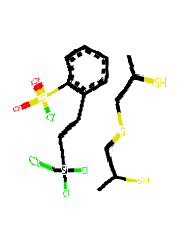 CC(S)CSCC(C)S.O=S(=O)(Cl)c1ccccc1CC[Si](Cl)(Cl)Cl